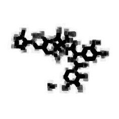 CCN1CCN(C(=O)NC(C(=O)N[C@]2(NC=O)C(=O)N3C(C(=O)[O-])=C(CSc4nnnn4C)C[S+]([O-])[C@H]32)c2ccc(O)c(O)c2)C(=O)C1=O.[Na+]